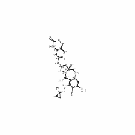 Cc1cc2c(c(OCC3(F)CC3)c1F)C(=O)N1C[C@@H](Oc3cc4c(cn3)CCC(=O)N4)C[C@@H]1CO2